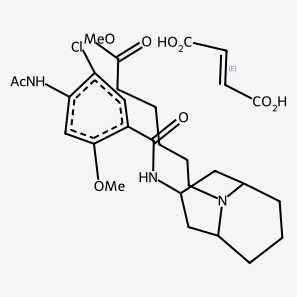 COC(=O)CCCCCN1C2CCCC1CC(NC(=O)c1cc(Cl)c(NC(C)=O)cc1OC)C2.O=C(O)/C=C/C(=O)O